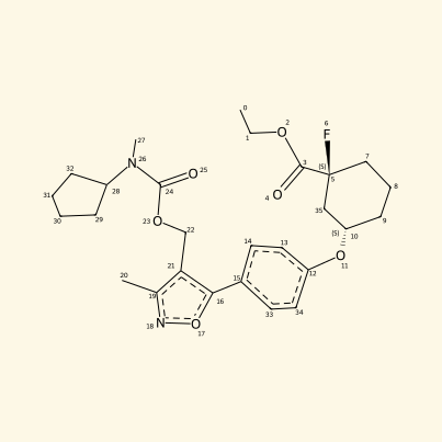 CCOC(=O)[C@]1(F)CCC[C@H](Oc2ccc(-c3onc(C)c3COC(=O)N(C)C3CCCC3)cc2)C1